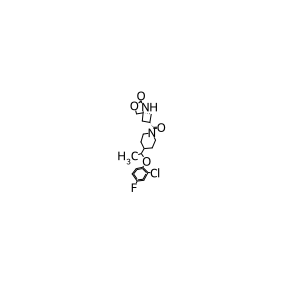 CC(Oc1ccc(F)cc1Cl)C1CCN(C(=O)[C@H]2C[C@@]3(COC(=O)N3)C2)CC1